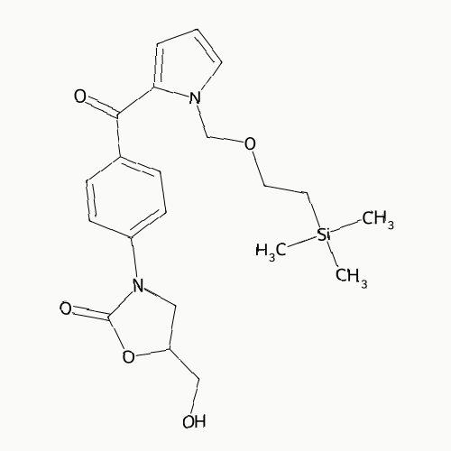 C[Si](C)(C)CCOCn1cccc1C(=O)c1ccc(N2CC(CO)OC2=O)cc1